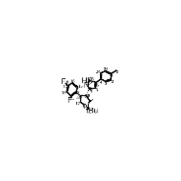 Cc1ccc(-c2cc([C@@H]3CN(C(C)(C)C)C[C@H]3c3ccc(F)cc3F)n[nH]2)cc1